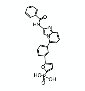 O=C(Nc1cn2c(-c3cccc(-c4ccc(P(=O)(O)O)o4)c3)cccc2n1)c1ccccc1